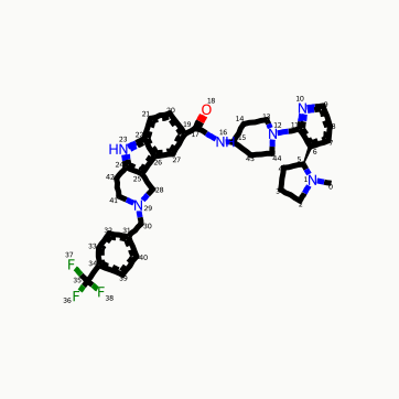 CN1CCC[C@H]1c1cccnc1N1CCC(NC(=O)c2ccc3[nH]c4c(c3c2)CN(Cc2ccc(C(F)(F)F)cc2)CC4)CC1